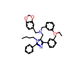 CCCCn1c(-c2ccccc2)nc(-c2cccc(C)c2)c1CN(Cc1cccc(OCC)c1)Cc1ccc2c(c1)OCO2